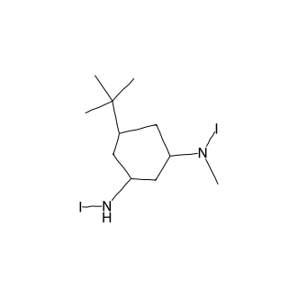 CN(I)C1CC(NI)CC(C(C)(C)C)C1